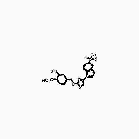 CC(C)(C)C1CC(COc2nc(-n3ccc4cc(S(C)(=O)=O)ccc43)cs2)CCN1C(=O)O